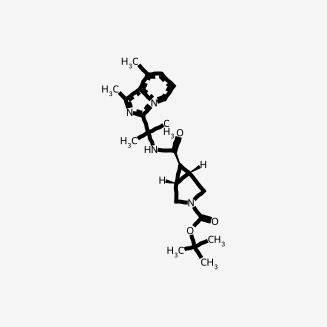 Cc1cccn2c(C(C)(C)NC(=O)[C@H]3[C@@H]4CN(C(=O)OC(C)(C)C)C[C@@H]43)nc(C)c12